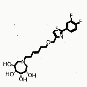 O[C@H]1[C@H](O)[C@@H](O)CN(CC/C=C/CCOCc2csc(-c3ccc(F)c(F)c3)n2)C[C@@H]1O